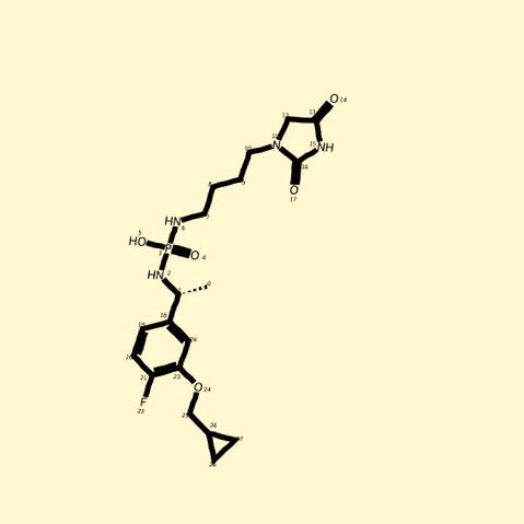 C[C@@H](NP(=O)(O)NCCCCN1CC(=O)NC1=O)c1ccc(F)c(OCC2CC2)c1